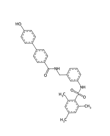 Cc1cc(C)c(S(=O)(=O)Nc2cccc(CNC(=O)c3ccc(-c4ccc(O)cc4)cc3)c2)c(C)c1